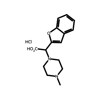 CN1CCN(C(C(=O)O)c2cc3ccccc3o2)CC1.Cl